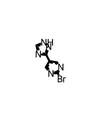 Brc1ncc(-c2nc[nH]n2)cn1